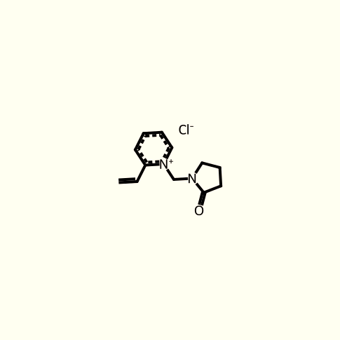 C=Cc1cccc[n+]1CN1CCCC1=O.[Cl-]